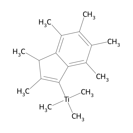 CC1=[C]([Ti]([CH3])([CH3])[CH3])c2c(C)c(C)c(C)c(C)c2C1C